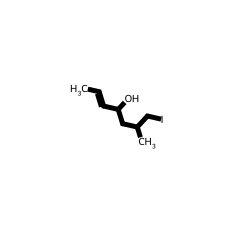 CC=CC(O)CC(C)CI